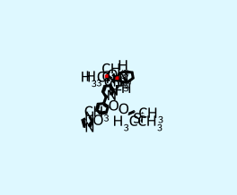 CN(c1ccc(-c2ccc(Oc3nccn3C)cc2OCOCC[Si](C)(C)C)nn1)[C@H]1C[C@@H]2CC[C@@H]([C@H]1F)N2C(=O)OC(C)(C)C